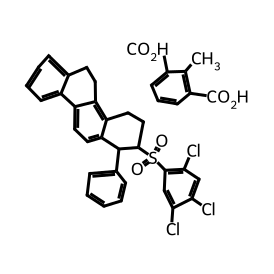 Cc1c(C(=O)O)cccc1C(=O)O.O=S(=O)(c1cc(Cl)c(Cl)cc1Cl)C1CCc2c(ccc3c2CCc2ccccc2-3)C1c1ccccc1